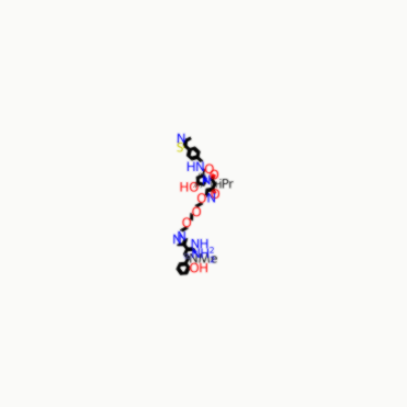 CN/C(=C\C(=C(N)N)c1cnn(CCOCCOCCOc2cc([C@H](C(=O)N3C[C@H](O)C[C@H]3C(=O)NCc3ccc(-c4scnc4C)cc3)C(C)C)on2)c1)c1ccccc1O